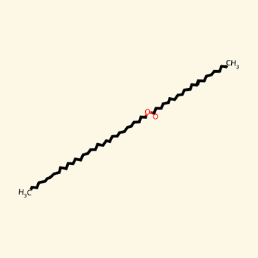 CCCCCCCCC=CCCCCCCCCCCCC(=O)OCCCCCCCCCCCCCCCCCCCCCCCCCCCCCCCCC